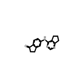 O=C1CCc2cc(Nc3ncnc4c3CCC4)ccc21